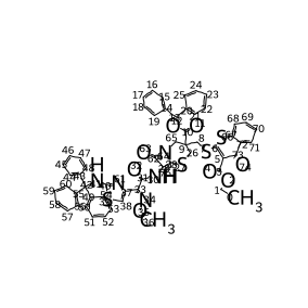 CCOC(=O)c1c(SCC2(C(=O)OC(c3ccccc3)c3ccccc3)CS[C@@H]3C(NC(=O)C(=NOC)c4csc(NC(c5ccccc5)(c5ccccc5)c5ccccc5)n4)C(=O)N3C2)sc2ccccc2c1=O